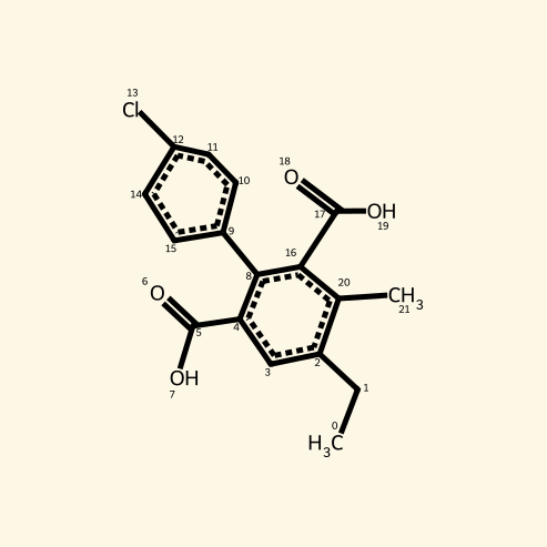 CCc1cc(C(=O)O)c(-c2ccc(Cl)cc2)c(C(=O)O)c1C